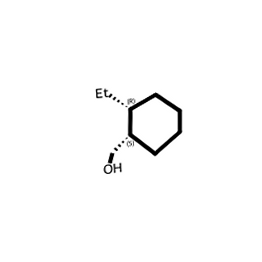 CC[C@@H]1CCCC[C@@H]1CO